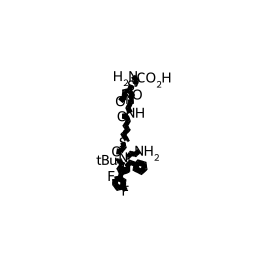 CC(C)(C)[C@H](c1cc(-c2cc(F)ccc2F)cn1Cc1ccccc1)N(CCCN)C(=O)CSCCCCCC(=O)NCCN1C(=O)CC(SC[C@H](N)C(=O)O)C1=O